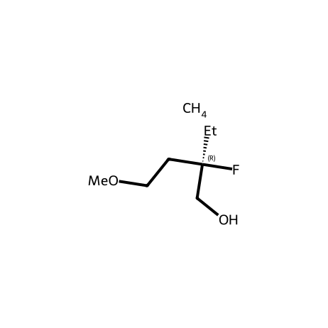 C.CC[C@](F)(CO)CCOC